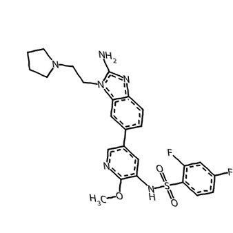 COc1ncc(-c2ccc3nc(N)n(CCN4CCCC4)c3c2)cc1NS(=O)(=O)c1ccc(F)cc1F